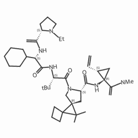 C=C[C@@H]1C[C@]1(NC(=O)[C@@H]1C[C@@]2(CN1C(=O)[C@@H](NC(=O)[C@@H](NC(=C)[C@@H]1CCCN1CC)C1CCCCC1)C(C)(C)C)C(C)(C)C21CCC1)C(=C)NC